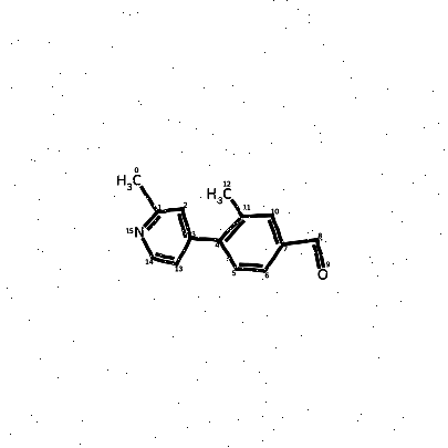 Cc1cc(-c2ccc([C]=O)cc2C)ccn1